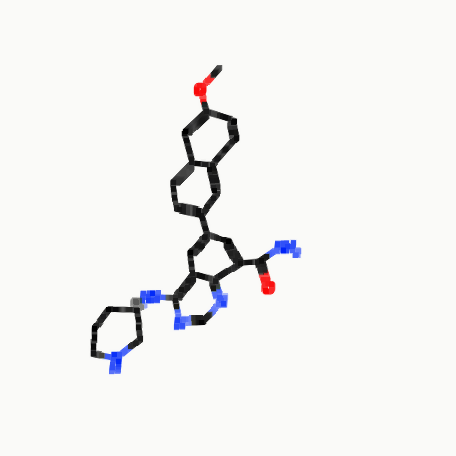 COc1ccc2cc(-c3cc(C(N)=O)c4ncnc(N[C@H]5CCCNC5)c4c3)ccc2c1